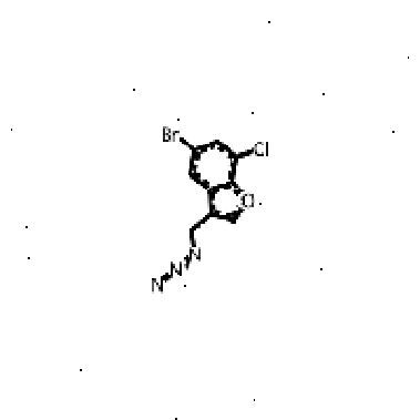 [N-]=[N+]=NCc1coc2c(Cl)cc(Br)cc12